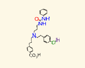 I.O=C(NCCCN(CCCc1ccc(C(=O)O)cc1)CCc1ccc(Cl)cc1)Nc1ccccc1